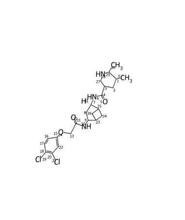 CC1CC(C(=O)N[C@@H]2CC(NC(=O)COc3ccc(Cl)c(Cl)c3)C3CC2C3)CNC1C